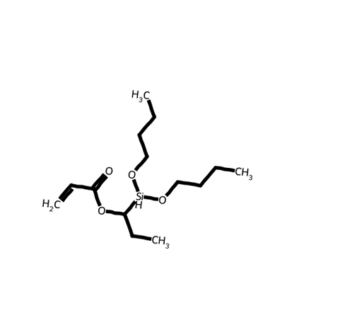 C=CC(=O)OC(CC)[SiH](OCCCC)OCCCC